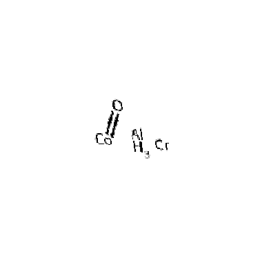 [AlH3].[Cr].[O]=[Co]